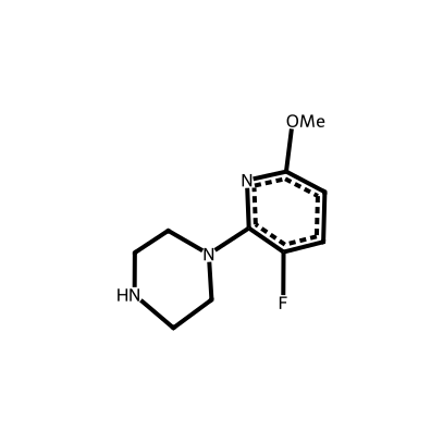 COc1ccc(F)c(N2CCNCC2)n1